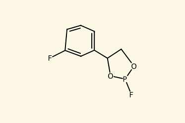 Fc1cccc(C2COP(F)O2)c1